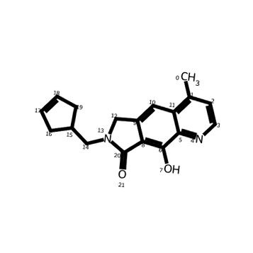 Cc1ccnc2c(O)c3c(cc12)CN(CC1CC=CC1)C3=O